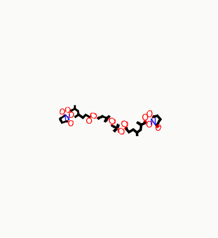 CC(CCC(=O)OCCC(C)(C)OCC(C)(C)OC(=O)CCC(C)CC(C)C(=O)ON1C(=O)CCC1=O)CC(C)C(=O)ON1C(=O)CCC1=O